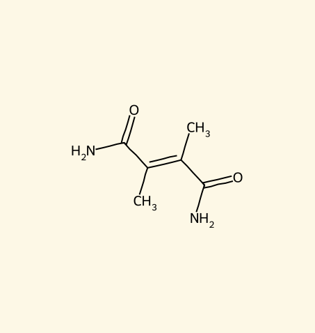 CC(C(N)=O)=C(C)C(N)=O